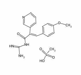 COc1ccc(/C=C(/C(=O)NC(=N)N)c2cccnc2)cc1.CS(=O)(=O)O